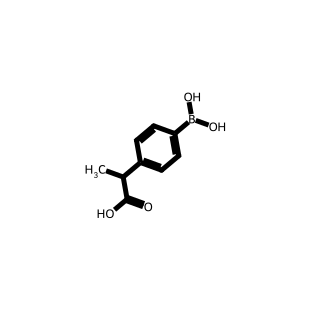 CC(C(=O)O)c1ccc(B(O)O)cc1